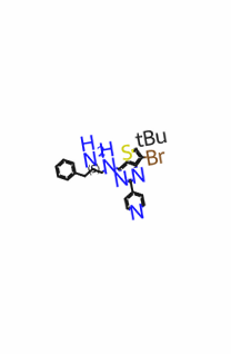 CC(C)(C)c1sc2c(NC[C@@H](N)Cc3ccccc3)nc(-c3ccncc3)nc2c1Br